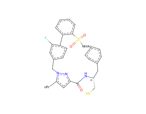 CCCc1cc(C(=O)N[C@@H](CS)Cc2ccccc2)nn1Cc1ccc(-c2ccccc2S(=O)(=O)NC(C)=O)c(F)c1